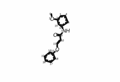 COc1cccc(NC(=O)C=COc2ccccc2)c1